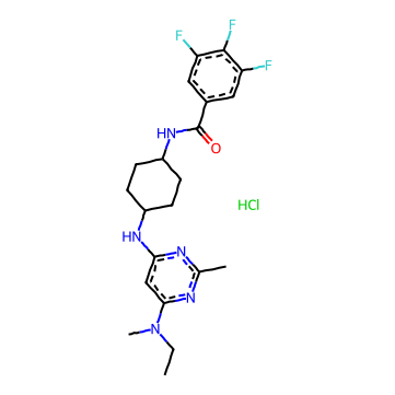 CCN(C)c1cc(NC2CCC(NC(=O)c3cc(F)c(F)c(F)c3)CC2)nc(C)n1.Cl